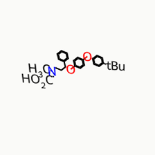 CN(CCC(Oc1ccc(Oc2ccc(C(C)(C)C)cc2)cc1)c1ccccc1)CC(=O)O